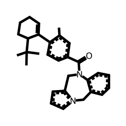 Cc1cc(C(=O)N2Cc3cccn3Cc3ccccc32)ccc1C1=CCCCC1C(C)(C)C